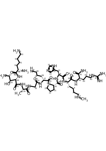 CNCCCC[C@H](NC(=O)[C@H](Cc1cnc[nH]1)NC(=O)[C@@H]1CCCN1C(=O)[C@@H](CCCN)NC(=O)CNC(=O)[C@H](C)NC(=O)[C@@H](NC(=O)[C@@H](N)CCCCN)[C@@H](O)CN)C(=O)N[C@H](CCCNC(=N)N)C(N)=O